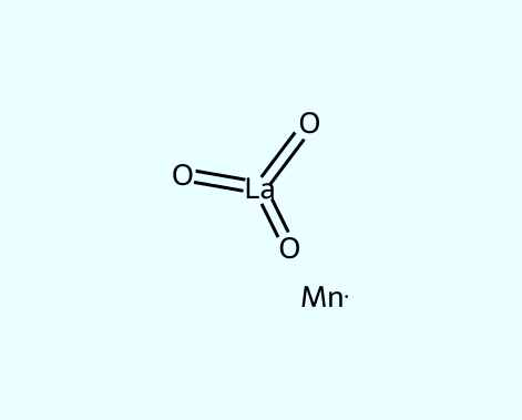 [Mn].[O]=[La](=[O])=[O]